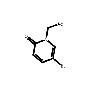 CCc1ccc(=O)n(CC(C)=O)c1